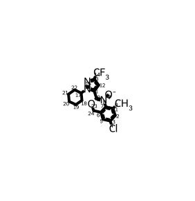 Cc1cc(Cl)cc2c1[N+]([O-])=C(c1cc(C(F)(F)F)nn1C1CCCCC1)OC2